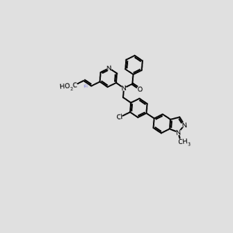 Cn1ncc2cc(-c3ccc(CN(C(=O)c4ccccc4)c4cncc(/C=C/C(=O)O)c4)c(Cl)c3)ccc21